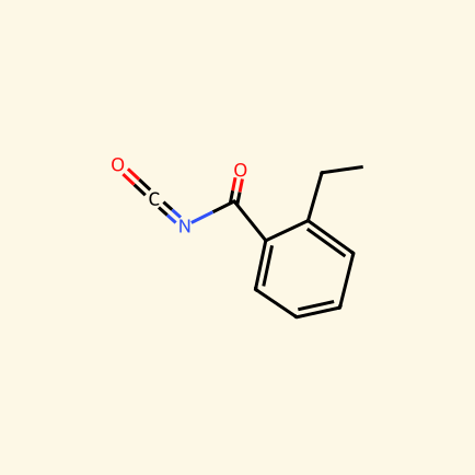 CCc1ccccc1C(=O)N=C=O